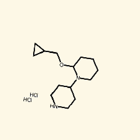 C1CCN(C2CCNCC2)C(OCC2CC2)C1.Cl.Cl